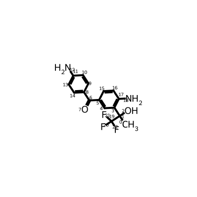 CC(O)(c1cc(C(=O)c2ccc(N)cc2)ccc1N)C(F)(F)F